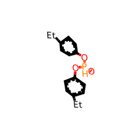 CCc1ccc(O[PH](=O)Oc2ccc(CC)cc2)cc1